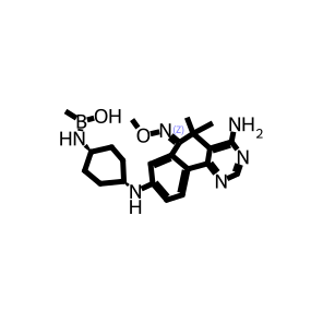 CO/N=C1\c2cc(N[C@H]3CC[C@H](NB(C)O)CC3)ccc2-c2ncnc(N)c2C1(C)C